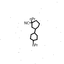 CCCC1CCC(C2CCCC(C#N)(CCC)C2)CC1